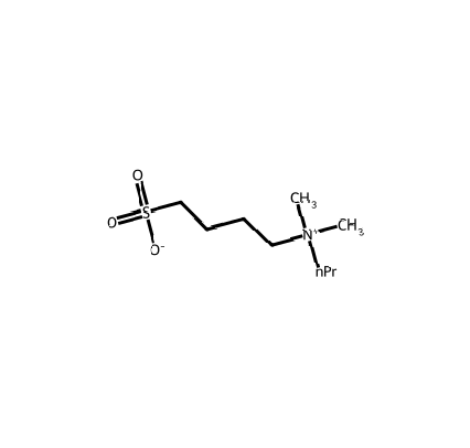 CCC[N+](C)(C)CCCCS(=O)(=O)[O-]